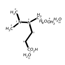 CN(C)N(C)CCC(=O)O.O.O.O.O